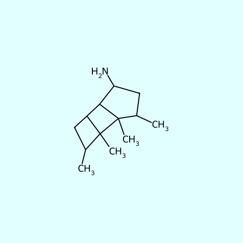 CC1CC2C3C(N)CC(C)C3(C)C12C